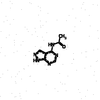 CC(=O)Nc1ncnc2[nH]ncc12